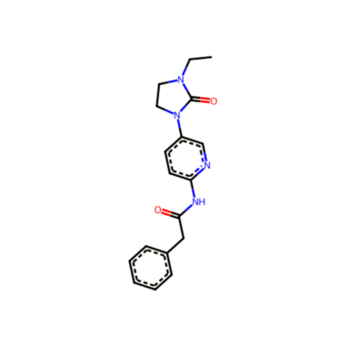 CCN1CCN(c2ccc(NC(=O)Cc3ccccc3)nc2)C1=O